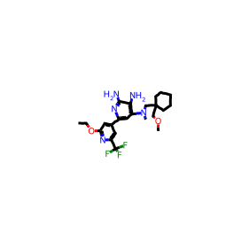 CCOc1cc(-c2cc(N(C)CC3(COC)CCCCC3)c(N)c(N)n2)cc(C(F)(F)F)n1